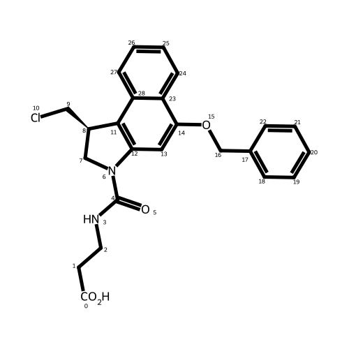 O=C(O)CCNC(=O)N1C[C@@H](CCl)c2c1cc(OCc1ccccc1)c1ccccc21